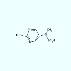 Cc1ncc(N(C)S(=O)(=O)O)cn1